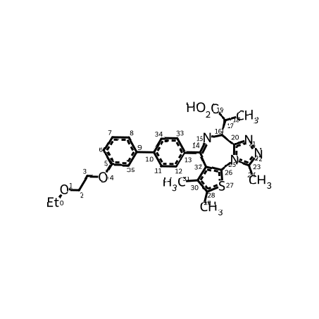 CCOCCOc1cccc(-c2ccc(C3=N[C@@H](C(C)C(=O)O)c4nnc(C)n4-c4sc(C)c(C)c43)cc2)c1